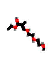 CCOC(=O)C(C)=COCCOCCOC